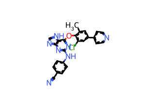 Cc1cc(-c2ccncc2)cc(Cl)c1Oc1nc(Nc2ccc(C#N)cc2)nc2nc[nH]c12